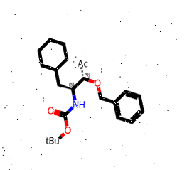 CC(=O)[C@H](OCc1ccccc1)[C@H](CC1CCCCC1)NC(=O)OC(C)(C)C